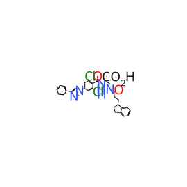 O=C(CC[C@@H]1CCc2ccccc21)NC[C@H](NC(=O)c1c(Cl)cc(-n2cnc(-c3ccccc3)c2)cc1Cl)C(=O)O